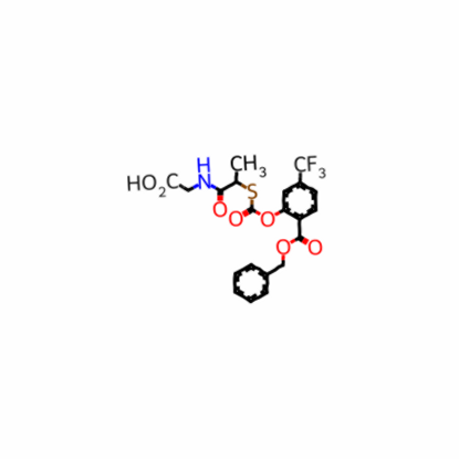 CC(SC(=O)Oc1cc(C(F)(F)F)ccc1C(=O)OCc1ccccc1)C(=O)NCC(=O)O